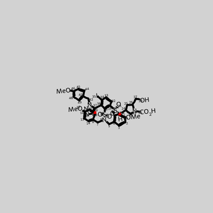 COc1ccc(CN(Cc2ccc(OC)cc2)S(=O)(=O)c2c(S(=O)(=O)NC3CC(CO)N(C(=O)O)C3)ccc(I)c2-c2nnnn2Cc2ccc(OC)cc2)cc1